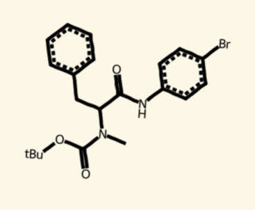 CN(C(=O)OC(C)(C)C)C(Cc1ccccc1)C(=O)Nc1ccc(Br)cc1